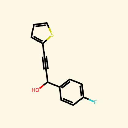 OC(C#Cc1cccs1)c1ccc(F)cc1